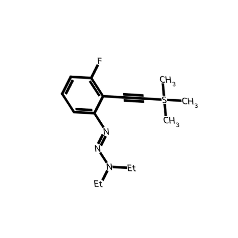 CCN(CC)N=Nc1cccc(F)c1C#CS(C)(C)C